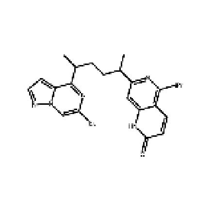 CCc1cn2nccc2c(C(C)CCC(C)c2cc3[nH]c(=O)ccc3c(C(C)C)n2)n1